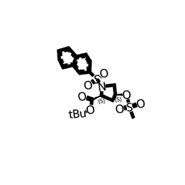 CC(C)(C)OC(=O)[C@@H]1C[C@H](OS(C)(=O)=O)CN1S(=O)(=O)c1ccc2ccccc2c1